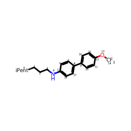 CCCC(C)CCCNc1ccc(-c2ccc(OC(F)(F)F)cc2)cc1